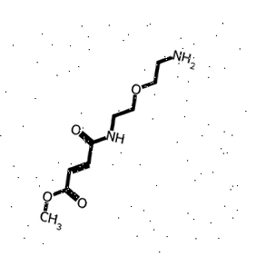 COC(=O)C=CC(=O)NCCOCCN